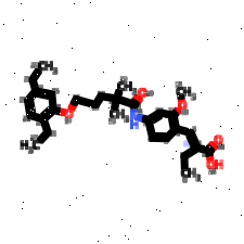 CC/C(=C\c1ccc(NC(=O)C(C)(C)CCCOc2cc(CC)ccc2CC)cc1OC)C(=O)O